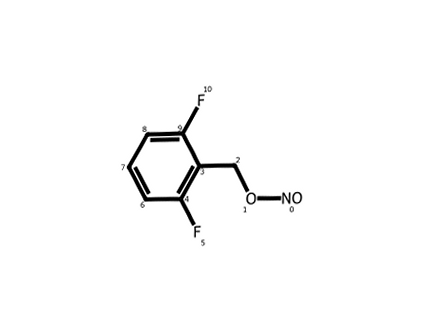 O=NOCc1c(F)cccc1F